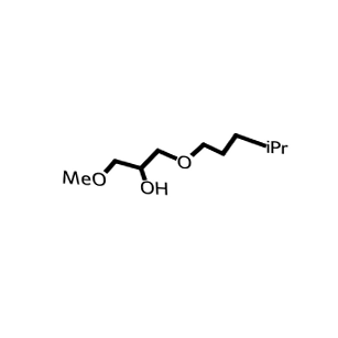 COCC(O)COCCCC(C)C